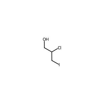 OCC(Cl)CI